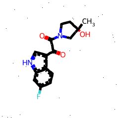 CC1(O)CCN(C(=O)C(=O)c2c[nH]c3cc(F)ccc23)C1